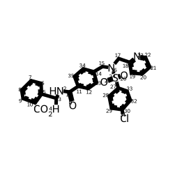 O=C(NC(C(=O)O)c1ccccc1)c1ccc(CN(Cc2ccccn2)S(=O)(=O)c2ccc(Cl)cc2)cc1